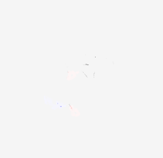 C[SiH](C)Oc1cc(C(C)(C)C)ccc1CCC(N)=O